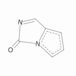 O=C1N=Cc2cccn21